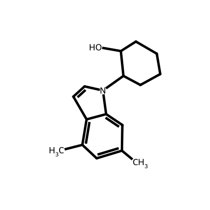 Cc1cc(C)c2ccn(C3CCCCC3O)c2c1